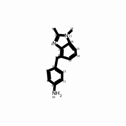 Cc1nc2c(Cc3ccc(N)cc3)cccc2n1C